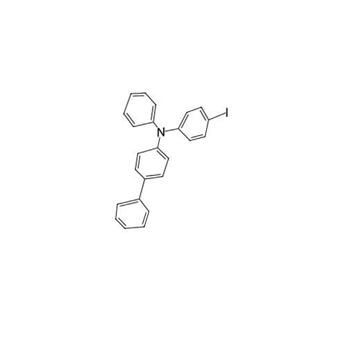 Ic1ccc(N(c2ccccc2)c2ccc(-c3ccccc3)cc2)cc1